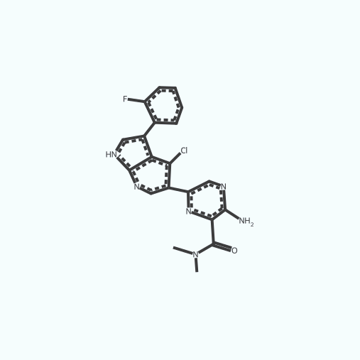 CN(C)C(=O)c1nc(-c2cnc3[nH]cc(-c4ccccc4F)c3c2Cl)cnc1N